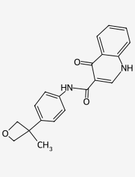 CC1(c2ccc(NC(=O)c3c[nH]c4ccccc4c3=O)cc2)COC1